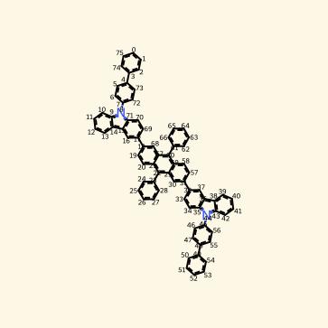 c1ccc(-c2ccc(-n3c4ccccc4c4cc(-c5ccc6c(-c7ccccc7)c7cc(-c8ccc9c(c8)c8ccccc8n9-c8ccc(-c9ccccc9)cc8)ccc7c(-c7ccccc7)c6c5)ccc43)cc2)cc1